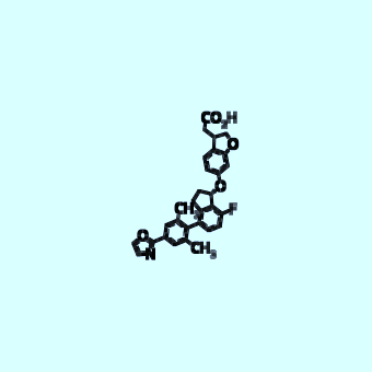 Cc1cc(-c2ncco2)cc(C)c1-c1ccc(F)c2c1CC[C@H]2Oc1ccc2c(c1)OCC2CC(=O)O